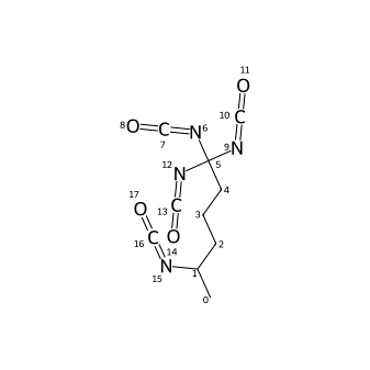 CC(CCCC(N=C=O)(N=C=O)N=C=O)N=C=O